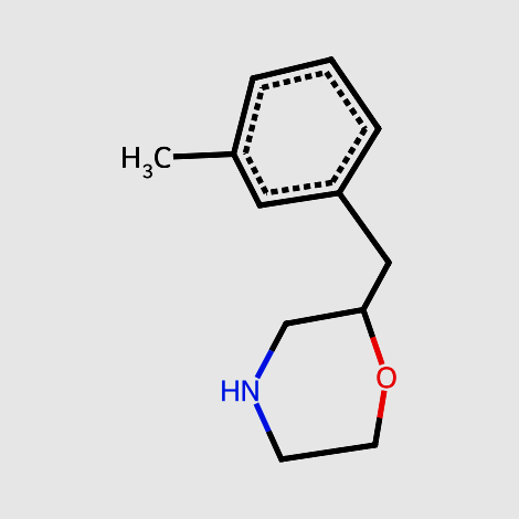 Cc1cccc(CC2CNCCO2)c1